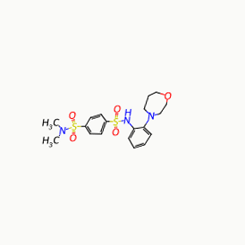 CN(C)S(=O)(=O)c1ccc(S(=O)(=O)Nc2ccccc2N2CCCOCC2)cc1